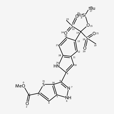 COC(=O)c1cc2[nH]nc(-c3cc4cc(C(O[SiH2]C(C)(C)C)(S(C)(=O)=O)S(C)(=O)=O)ccc4[nH]3)c2s1